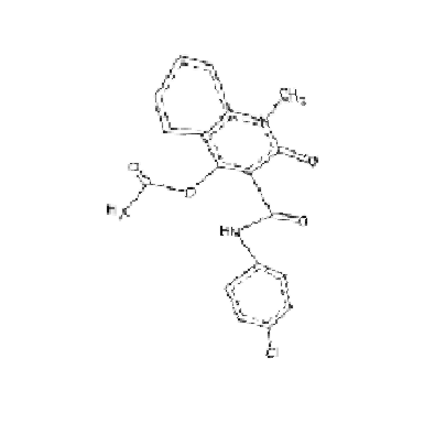 CC(=O)Oc1c(C(=O)Nc2ccc(Cl)cc2)c(=O)n(C)c2ccccc12